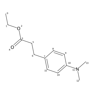 CCOC(=O)CCc1ccc(N(C)C)cc1